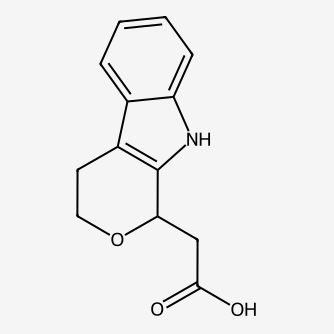 O=C(O)CC1OCCc2c1[nH]c1ccccc21